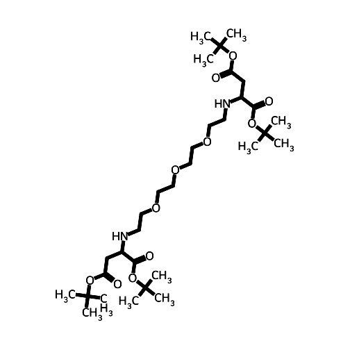 CC(C)(C)OC(=O)CC(NCCOCCOCCOCCNC(CC(=O)OC(C)(C)C)C(=O)OC(C)(C)C)C(=O)OC(C)(C)C